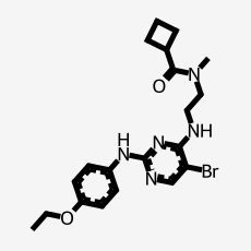 CCOc1ccc(Nc2ncc(Br)c(NCCN(C)C(=O)C3CCC3)n2)cc1